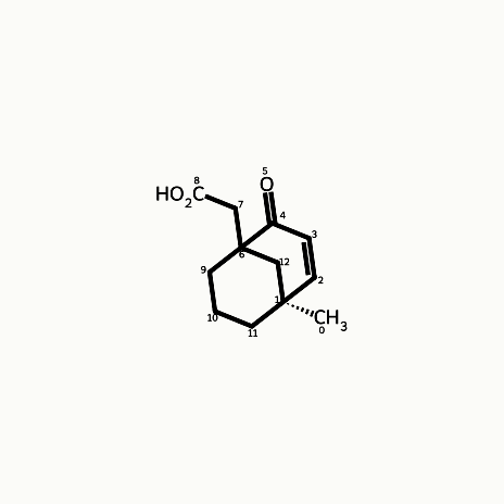 C[C@]12C=CC(=O)C(CC(=O)O)(CCC1)C2